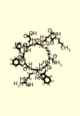 CCCC[C@@H]1NC(=O)N(CC(=O)N[C@H]2CSSC[C@@H](C(N)=O)NC(=O)[C@H](Cc3c[nH]c4ccccc34)NC(=O)[C@H](CCCNC(=N)N)NC(=O)[C@@H](Cc3ccccc3)NC(=O)[C@H](Cc3cnc[nH]3)NC(=O)[C@H](CCC(=O)O)NC2=O)C1=O